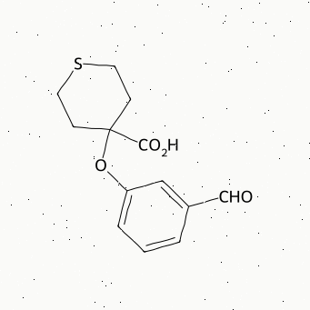 O=Cc1cccc(OC2(C(=O)O)CCSCC2)c1